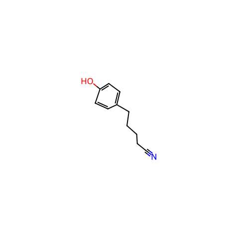 N#CCCCCc1ccc(O)cc1